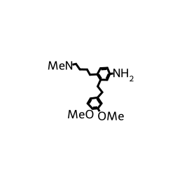 CNCCCCc1ccc(N)cc1CCc1ccc(OC)c(OC)c1